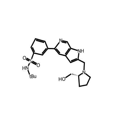 CC(C)(C)NS(=O)(=O)c1cccc(-c2cc3cc(CN4CCC[C@@H]4CO)[nH]c3cn2)c1